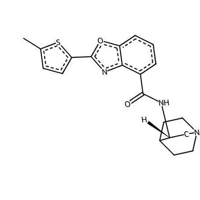 Cc1ccc(-c2nc3c(C(=O)N[C@@H]4CN5CCC4CC5)cccc3o2)s1